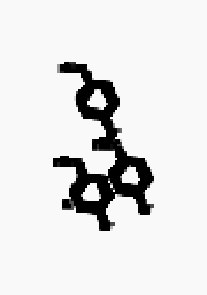 CCCCCCCCCc1ccc([O-])cc1.CCCCCCCCCc1ccc([O-])cc1.CCCCCCCCCc1ccc([O-])cc1.[Al+3]